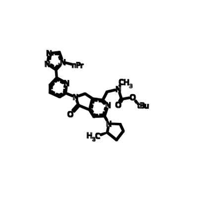 CCCn1cnnc1-c1cccc(N2Cc3c(cc(N4CCC[C@H]4C)nc3CN(C)C(=O)OC(C)(C)C)C2=O)n1